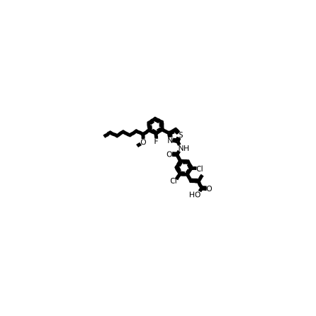 CCCCCCC(OC)c1cccc(-c2csc(NC(=O)c3cc(Cl)c(/C=C(\C)C(=O)O)c(Cl)c3)n2)c1F